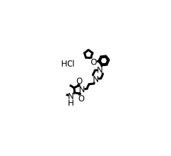 CNC1C(=O)N(CCCN2CCN(c3ccccc3OC3CCCC3)CC2)C(=O)C1C.Cl